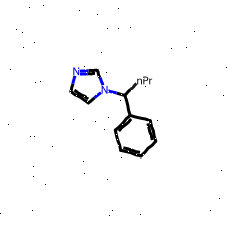 CCCC(c1cc[c]cc1)n1ccnc1